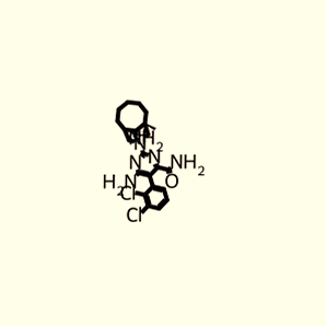 C[C@@]12CCCCCC(CN(c3nc(N)c(-c4cccc(Cl)c4Cl)c(C(N)=O)n3)C1)[C@@H]2N